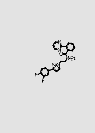 CCN(CCn1ccc(-c2ccc(F)c(F)c2)n1)C(=O)c1ccccc1-c1ncccn1